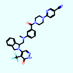 CN(CC1c2ccccc2CN1c1cn[nH]c(=O)c1C(F)(F)F)c1cccc(C(=O)N2CCN(c3ccc(C#N)cn3)CC2)c1